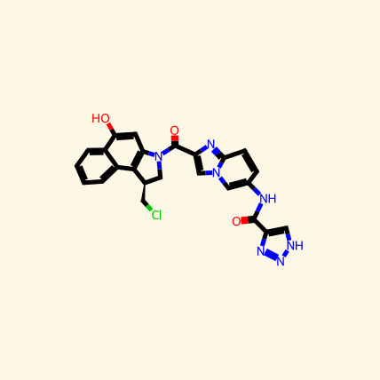 O=C(Nc1ccc2nc(C(=O)N3C[C@@H](CCl)c4c3cc(O)c3ccccc43)cn2c1)c1c[nH]nn1